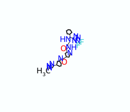 Cn1cc(-c2ccc3oc(-c4ccnc(C(=O)NCCNC(c5ccccc5)c5nnn(C(F)F)n5)c4)nc3c2)nn1